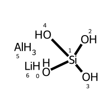 O[Si](O)(O)O.[AlH3].[LiH]